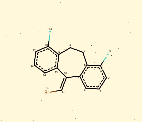 Fc1cccc2c1CCc1c(F)cccc1C2=CBr